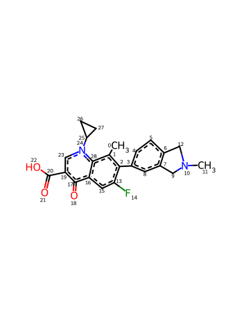 Cc1c(-c2ccc3c(c2)CN(C)C3)c(F)cc2c(=O)c(C(=O)O)cn(C3CC3)c12